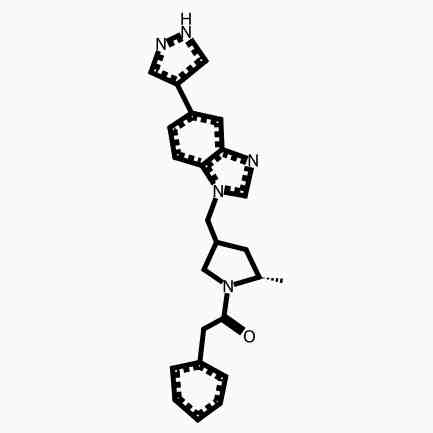 C[C@H]1CC(Cn2cnc3cc(-c4cn[nH]c4)ccc32)CN1C(=O)Cc1ccccc1